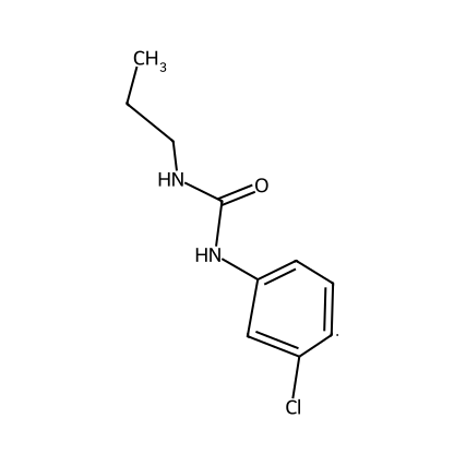 CCCNC(=O)Nc1cc[c]c(Cl)c1